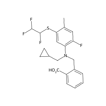 Cc1cc(F)c(N(Cc2ccccc2C(=O)O)CC2CC2)cc1SC(F)C(F)F